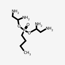 CCCCP(=O)(OC(N)CN)OC(N)CN